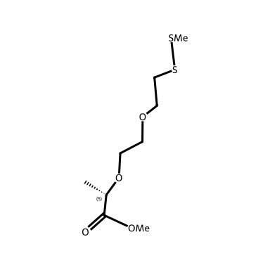 COC(=O)[C@H](C)OCCOCCSSC